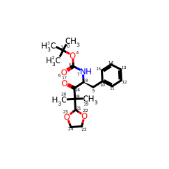 CC(C)(C)OC(=O)N[C@@H](Cc1ccccc1)C(=O)C(C)(C)C1OCCO1